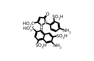 Nc1cc2c(S(=O)(=O)O)cc(S(=O)(=O)O)cc2cc1S(=O)(=O)O.Nc1ccc(-n2[nH]c(C(=O)O)cc2=O)c(S(=O)(=O)O)c1